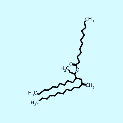 C=C(CCCCCCCCCCC)CC(CCCCCCCCCC)C(CC)OC(=O)CCCCCCCCCCC